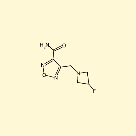 NC(=O)c1nonc1CN1CC(F)C1